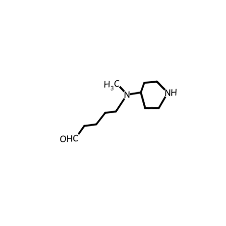 CN(CCCCC=O)C1CCNCC1